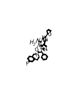 Nc1nc2c(cnn2C(C(=O)N2CCc3cc(F)ccc3C2)c2ccccc2)c2nc(-c3ccco3)nn12